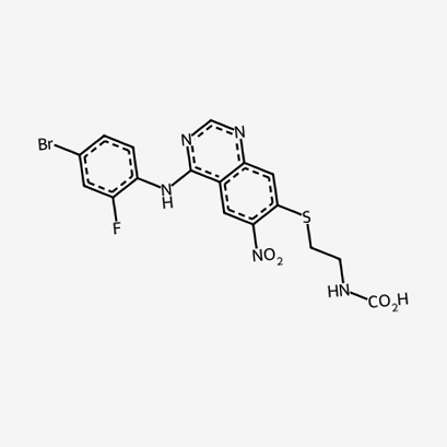 O=C(O)NCCSc1cc2ncnc(Nc3ccc(Br)cc3F)c2cc1[N+](=O)[O-]